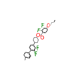 C=CCCOc1ccc(C(=O)OC2CCC(c3ccc(-c4ccc(C)cc4)c(F)c3F)CC2)c(F)c1F